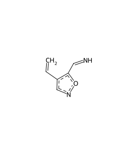 C=Cc1cnoc1C=N